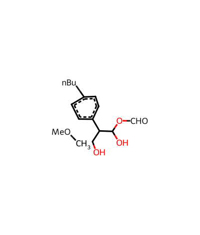 CCCCc1ccc(C(CO)C(O)OC=O)cc1.COC